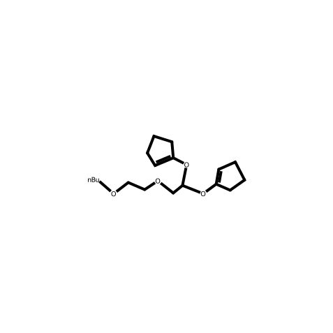 CCCCOCCOCC(OC1=CCCC1)OC1=CCCC1